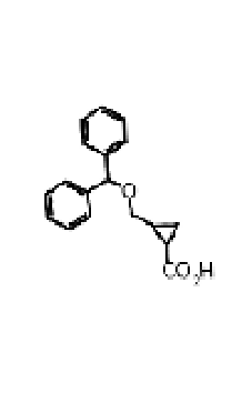 O=C(O)C1CC1COC(c1ccccc1)c1ccccc1